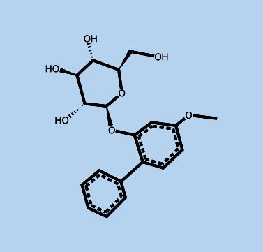 COc1ccc(-c2ccccc2)c(O[C@@H]2O[C@H](CO)[C@@H](O)[C@H](O)[C@H]2O)c1